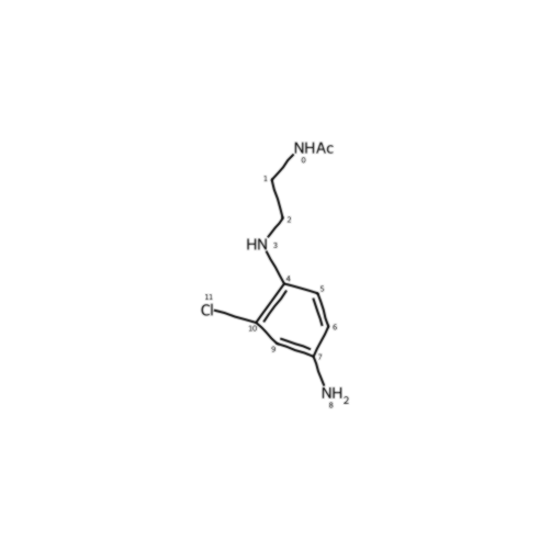 CC(=O)NCCNc1ccc(N)cc1Cl